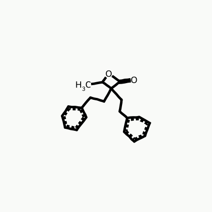 CC1OC(=O)C1(CCc1ccccc1)CCc1ccccc1